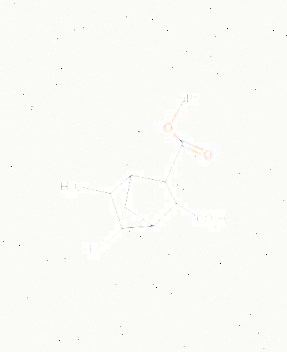 CC(C)OC(=O)C1C2CC(C(C)C2C)C1C(=O)O